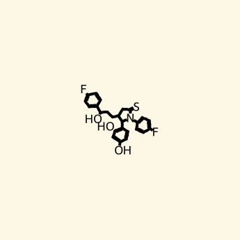 Oc1ccc(C2C(CCC(O)c3ccc(F)cc3)CC(=S)N2c2ccc(F)cc2)c(O)c1